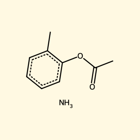 CC(=O)Oc1ccccc1C.N